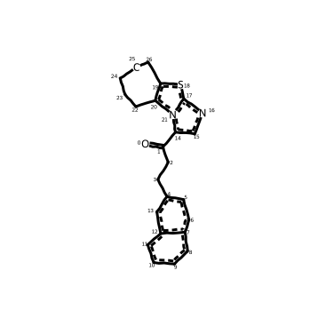 O=C(CCc1ccc2ccccc2c1)c1cnc2sc3c(n12)CCCCC3